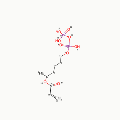 [2H]C(CCCCOP(=O)(O)OP(=O)(O)O)OC(=O)C=C